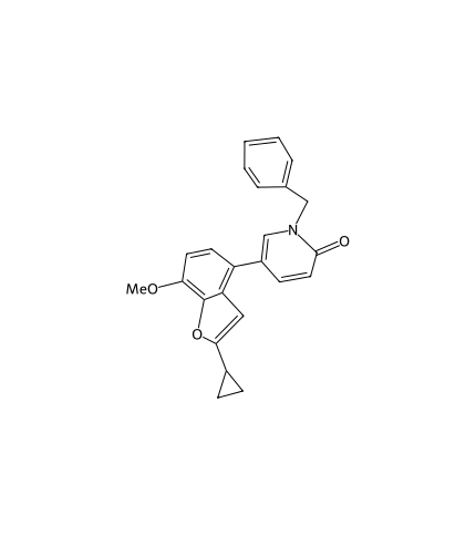 COc1ccc(-c2ccc(=O)n(Cc3ccccc3)c2)c2cc(C3CC3)oc12